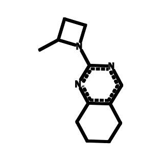 CC1CCN1c1ncc2c(n1)CCCC2